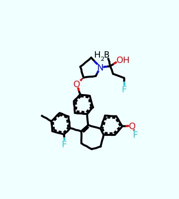 BC(O)(CCF)N1CC[C@H](Oc2ccc(C3=C(c4ccc(C)cc4F)CCCc4cc(OF)ccc43)cc2)C1